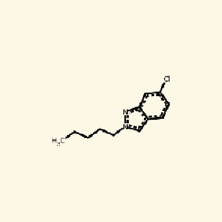 CCCCCn1cc2ccc(Cl)cc2n1